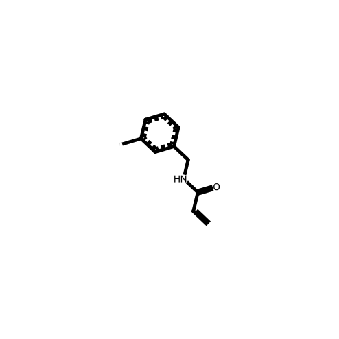 [CH]c1cccc(CNC(=O)C=C)c1